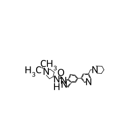 CC(C)N1CCC(NC(=O)n2ncc3cc(-c4cncc(CN5CCCCC5)c4)ccc32)CC1